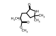 COC(=O)[C@@H](C)CC1CC(C)(C)NC1=O